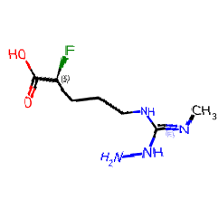 C/N=C(/NN)NCCC[C@H](F)C(=O)O